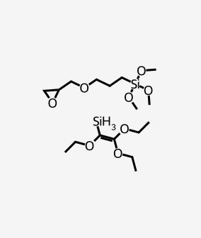 CCOC([SiH3])=C(OCC)OCC.CO[Si](CCCOCC1CO1)(OC)OC